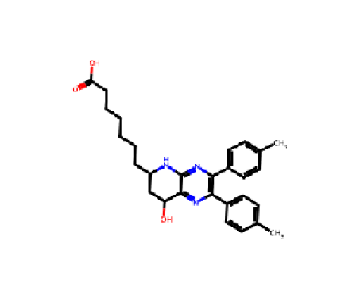 Cc1ccc(-c2nc3c(nc2-c2ccc(C)cc2)C(O)CC(CCCCCCC(=O)O)N3)cc1